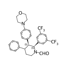 O=CN1CCC(c2ccccc2)[C@@H](c2ccc(N3CCOCC3)cc2)[C@H]1c1cc(C(F)(F)F)cc(C(F)(F)F)c1